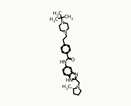 C[C@H]1CCCN1Cc1nc2cc(NC(=O)c3ccc(CCN4CCN(C(C)(C)C)CC4)cc3)ccc2[nH]1